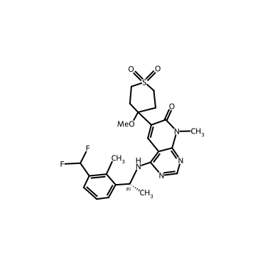 COC1(c2cc3c(N[C@H](C)c4cccc(C(F)F)c4C)ncnc3n(C)c2=O)CCS(=O)(=O)CC1